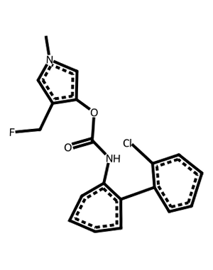 Cn1cc(CF)c(OC(=O)Nc2ccccc2-c2ccccc2Cl)c1